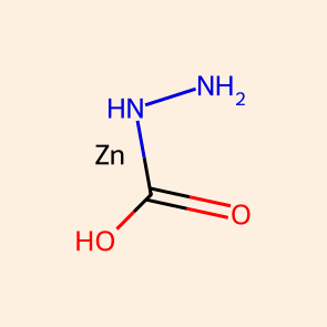 NNC(=O)O.[Zn]